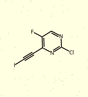 Fc1cnc(Cl)nc1C#CI